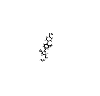 N#CC1CCN(c2ccc(N3CC(CN)OC3=O)cc2F)CC1